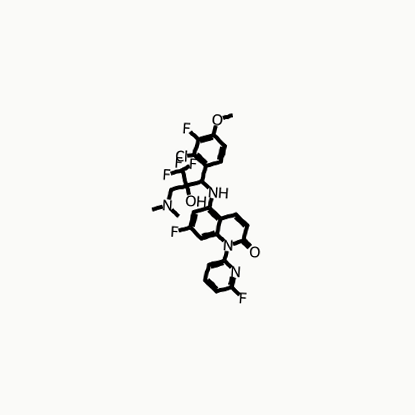 COc1ccc(C(Nc2cc(F)cc3c2ccc(=O)n3-c2cccc(F)n2)C(O)(CN(C)C)C(F)(F)F)c(Cl)c1F